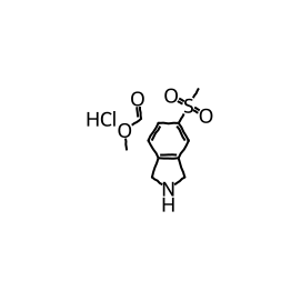 COC=O.CS(=O)(=O)c1ccc2c(c1)CNC2.Cl